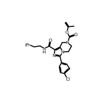 C=C(C)OC(=O)N1CCn2c(-c3ccc(Cl)cc3)nc(C(=O)NCCC(C)C)c2C1